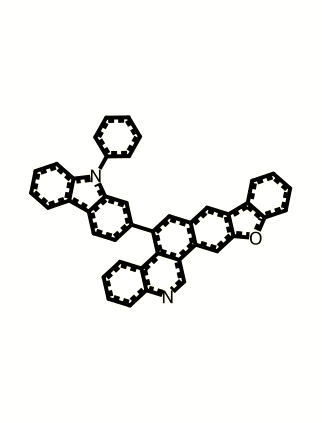 c1ccc(-n2c3ccccc3c3ccc(-c4cc5cc6c(cc5c5cnc7ccccc7c45)oc4ccccc46)cc32)cc1